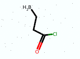 BCCC(=O)Cl